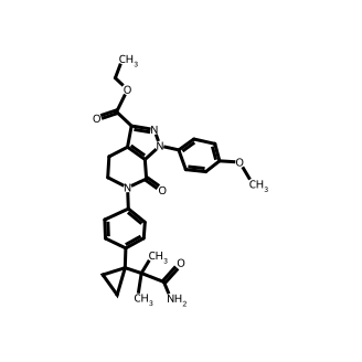 CCOC(=O)c1nn(-c2ccc(OC)cc2)c2c1CCN(c1ccc(C3(C(C)(C)C(N)=O)CC3)cc1)C2=O